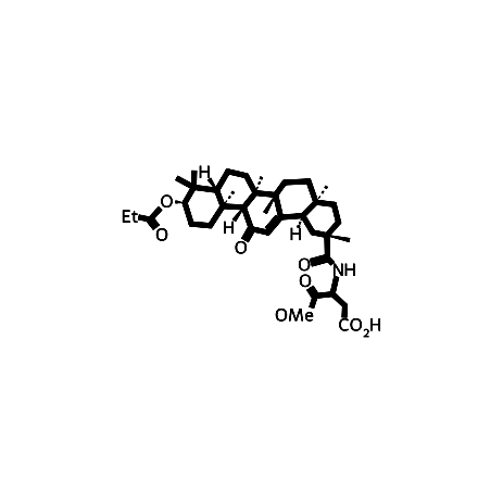 CCC(=O)O[C@H]1CC[C@]2(C)[C@H]3C(=O)C=C4[C@@H]5C[C@@](C)(C(=O)NC(CC(=O)O)C(=O)OC)CC[C@]5(C)CC[C@@]4(C)[C@]3(C)CC[C@H]2C1(C)C